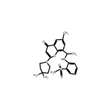 Cc1cc(C(C)Nc2ccccc2S(N)(=O)=O)c2oc(N3CCC(C)(C)CC3)cc(=O)c2c1